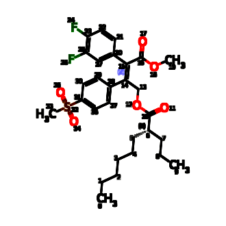 CCCCCC[C@@H](CCC)C(=O)OC/C(=C(\C(=O)OC)c1ccc(F)c(F)c1)c1ccc(S(C)(=O)=O)cc1